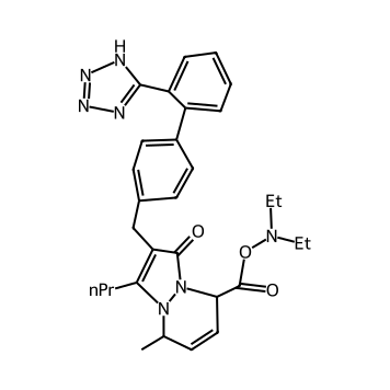 CCCc1c(Cc2ccc(-c3ccccc3-c3nnn[nH]3)cc2)c(=O)n2n1C(C)C=CC2C(=O)ON(CC)CC